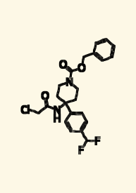 O=C(CCl)NC1(c2ccc(C(F)F)cc2)CCN(C(=O)OCc2ccccc2)CC1